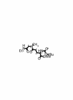 CCNC(=O)CN(C)C(=O)CCC(NC(=O)OC(C)(C)C)C(=O)OC